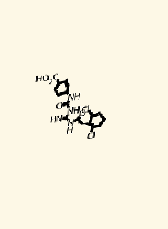 N=C(NC(=O)Cc1c(Cl)cccc1Cl)NC(=O)Nc1ccc(C(=O)O)cc1